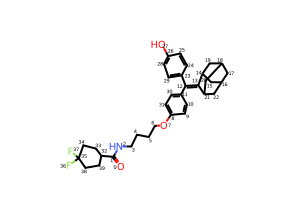 O=C(NCCCCOc1ccc(C(=C2C3CC4CC(C3)CC2C4)c2ccc(O)cc2)cc1)C1CCC(F)(F)CC1